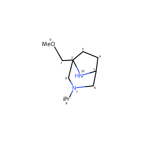 COCC12CCC(CN(C(C)C)C1)N2